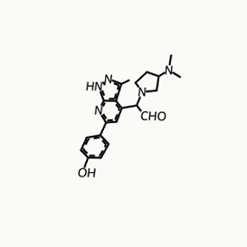 Cc1n[nH]c2nc(-c3ccc(O)cc3)cc(C(C=O)N3CCC(N(C)C)C3)c12